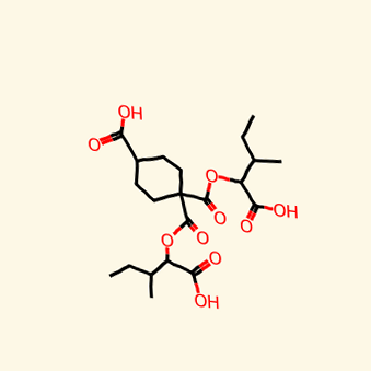 CCC(C)C(OC(=O)C1(C(=O)OC(C(=O)O)C(C)CC)CCC(C(=O)O)CC1)C(=O)O